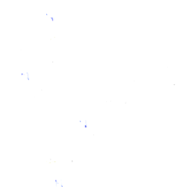 c1ccc(-c2ccc(-c3ccc4c(-c5cc(-c6cncs6)ccn5)c5ccccc5c(-c5cc(-c6cncs6)ccn5)c4c3)cc2)cc1